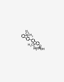 CC1(C)c2ccccc2-c2ccc(-c3ccc4c(c3)C(C)(C)c3cc(OB(O)O)ccc3-4)cc21